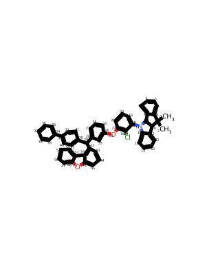 CC1(C)c2ccccc2C2C1c1ccccc1N2c1cccc(Oc2cccc(C(c3ccc(-c4ccccc4)cc3)c3cccc4oc5ccccc5c34)c2)c1Cl